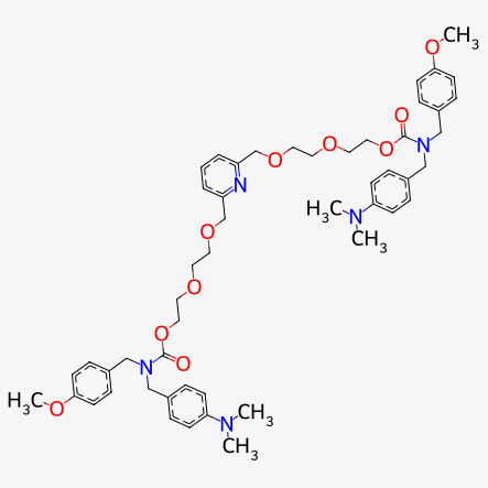 COc1ccc(CN(Cc2ccc(N(C)C)cc2)C(=O)OCCOCCOCc2cccc(COCCOCCOC(=O)N(Cc3ccc(OC)cc3)Cc3ccc(N(C)C)cc3)n2)cc1